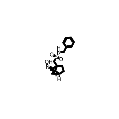 CC1(C)[C@@H]2CCC1(CS(=O)(=O)NCc1ccccc1)C(=NO)C2